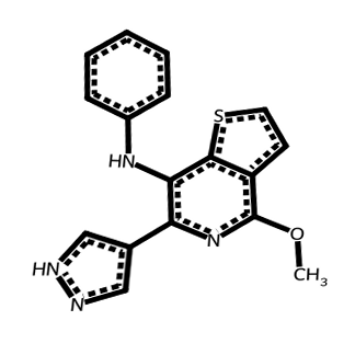 COc1nc(-c2cn[nH]c2)c(Nc2ccccc2)c2sccc12